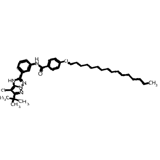 CCCCCCCCCCCCCCCCOc1ccc(C(=O)Nc2cccc(-c3nn4nc(C(C)(C)C)c(Cl)c4[nH]3)c2)cc1